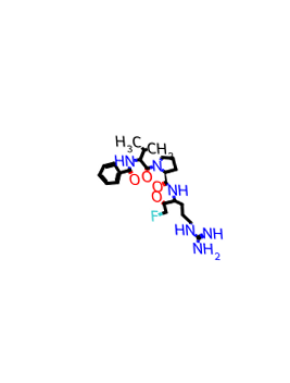 CC(C)C(NC(=O)c1ccccc1)C(=O)N1CCC[C@H]1C(=O)NC(CCCNC(=N)N)C(=O)CF